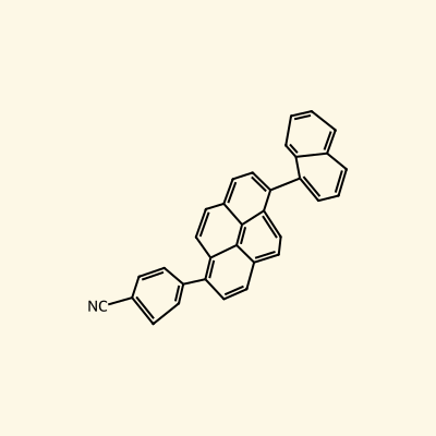 N#Cc1ccc(-c2ccc3ccc4c(-c5cccc6ccccc56)ccc5ccc2c3c54)cc1